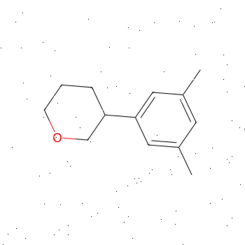 Cc1cc(C)cc(C2CCCOC2)c1